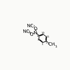 Cc1ccc(N(OC#N)OC#N)cc1